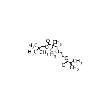 C=C(C)C(=O)OCCOCC(C)(C)C(=O)OCC(C)(C)C